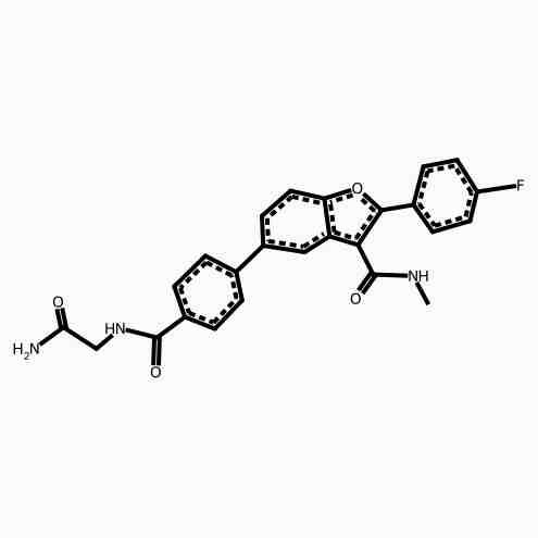 CNC(=O)c1c(-c2ccc(F)cc2)oc2ccc(-c3ccc(C(=O)NCC(N)=O)cc3)cc12